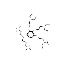 CCN(CC)CCOc1cccc(OCCN(CC)CC)c1OCCN(CC)CC.C[N+](C)(C)CCCCCC[N+](C)(C)C